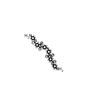 Nc1ccc(OC(=O)c2ccc3c(c2)C(=O)N(c2ccc(Cc4ccc(N5C(=O)c6ccc(C(=O)Oc7ccc(N)cc7)cc6C5=O)cc4)cc2)C3=O)cc1